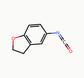 O=C=Nc1ccc2c(c1)CCO2